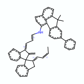 C=C1/C(=C\C=C\Nc2ccc3cccc4c3c2-c2ccc(-c3ccccc3)cc2C4(C)C)c2ccccc2C12/C(=C/C=C\C)Cc1ccccc12